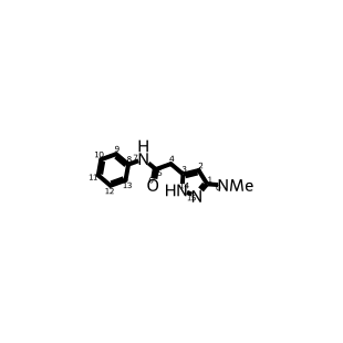 CNc1cc(CC(=O)Nc2ccccc2)[nH]n1